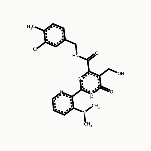 Cc1ccc(CNC(=O)c2nc(-c3ncccc3N(C)C)[nH]c(=O)c2CO)cc1Cl